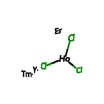 [Cl][Ho]([Cl])[Cl].[Er].[Tm].[Y]